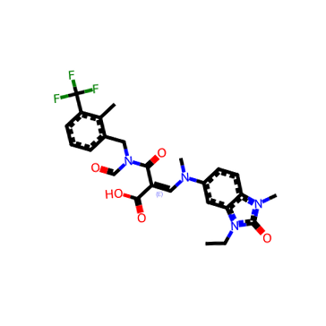 CCn1c(=O)n(C)c2ccc(N(C)/C=C(/C(=O)O)C(=O)N(C=O)Cc3cccc(C(F)(F)F)c3C)cc21